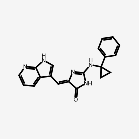 O=C1NC(NC2(c3ccccc3)CC2)=NC1=Cc1c[nH]c2ncccc12